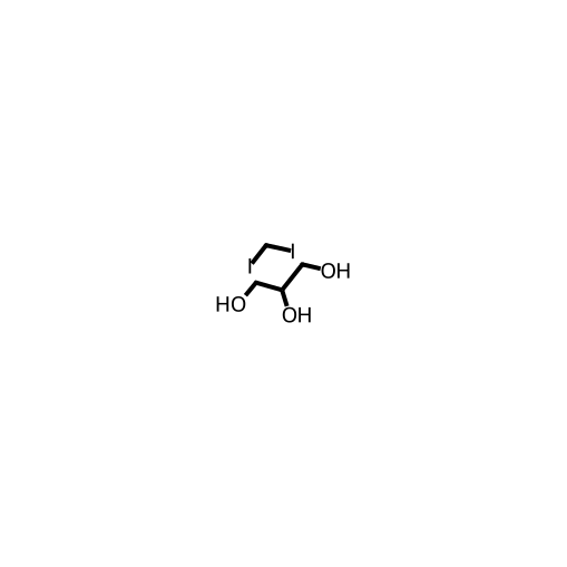 ICI.OCC(O)CO